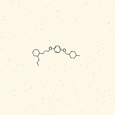 CCCC1CCCCC1CCCOc1ccc(OCC2CCC(C)CC2)cc1